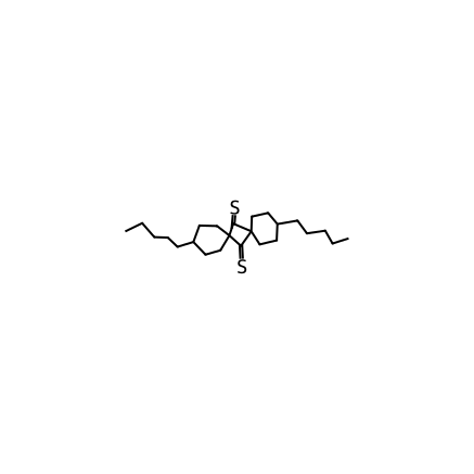 CCCCCC1CCC2(CC1)C(=S)C1(CCC(CCCCC)CC1)C2=S